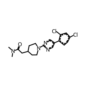 CN(C)C(=O)CC1CCN(c2ncc(-c3ccc(Cl)cc3Cl)cn2)CC1